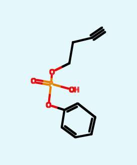 C#CCCOP(=O)(O)Oc1ccccc1